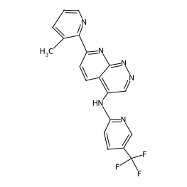 Cc1cccnc1-c1ccc2c(Nc3ccc(C(F)(F)F)cn3)cnnc2n1